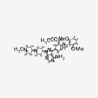 CC(=O)O.COc1cccc(OC)c1CNc1ccc(-c2nn(C3CCN(C4CCN(C)CC4)CC3)c3ncnc(N)c23)cc1